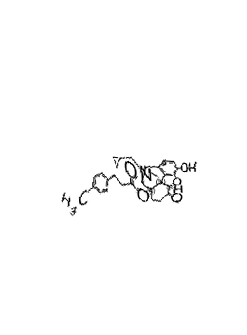 Cc1ccc(CCC(=O)O[C@@]23CCC(=O)[C@@H]4Oc5c(O)ccc6c5[C@@]42CCN(CC2CC2)C3C6)cc1